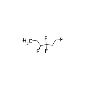 [CH2]C[C@H](F)C(F)(F)CCF